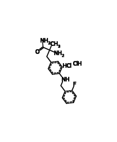 CC(N)(Cc1ccc(NCc2ccccc2F)cc1)C(N)=O.Cl.Cl